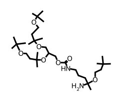 CC(C)(C)CCOC(C)(N)CCCNC(=O)OCC(COC(C)(C)CCOC(C)(C)C)OC(C)(C)CCOC(C)(C)C